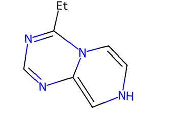 CCC1=NC=NC2=CNC=CN21